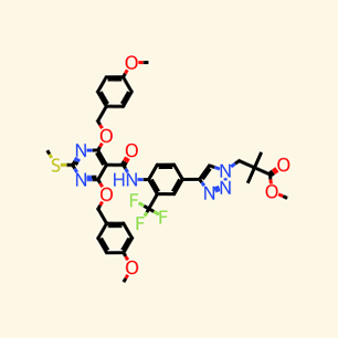 COC(=O)C(C)(C)Cn1cc(-c2ccc(NC(=O)c3c(OCc4ccc(OC)cc4)nc(SC)nc3OCc3ccc(OC)cc3)c(C(F)(F)F)c2)nn1